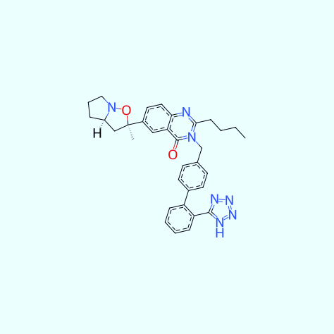 CCCCc1nc2ccc([C@@]3(C)C[C@H]4CCCN4O3)cc2c(=O)n1Cc1ccc(-c2ccccc2-c2nnn[nH]2)cc1